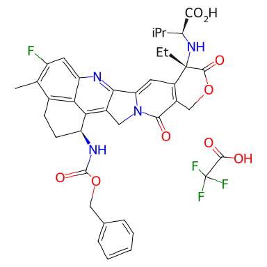 CC[C@@]1(N[C@H](C(=O)O)C(C)C)C(=O)OCc2c1cc1n(c2=O)Cc2c-1nc1cc(F)c(C)c3c1c2[C@@H](NC(=O)OCc1ccccc1)CC3.O=C(O)C(F)(F)F